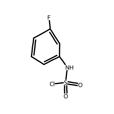 O=S(=O)(Cl)Nc1cccc(F)c1